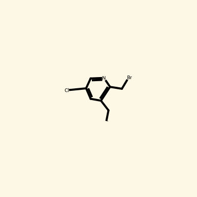 [CH2]Cc1cc(Cl)cnc1CBr